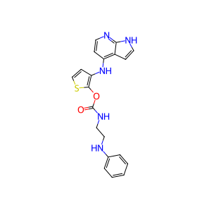 O=C(NCCNc1ccccc1)Oc1sccc1Nc1ccnc2[nH]ccc12